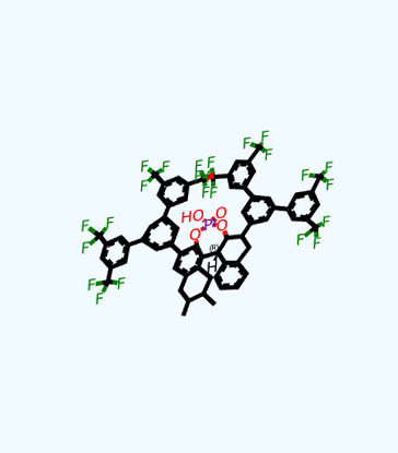 CC1Cc2cc(-c3cc(-c4cc(C(F)(F)F)cc(C(F)(F)F)c4)cc(-c4cc(C(F)(F)F)cc(C(F)(F)F)c4)c3)c3c(c2CC1C)[C@H]1c2ccccc2CC(c2cc(-c4cc(C(F)(F)F)cc(C(F)(F)F)c4)cc(-c4cc(C(F)(F)F)cc(C(F)(F)F)c4)c2)C1OP(=O)(O)O3